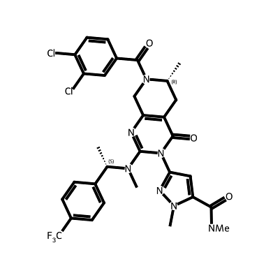 CNC(=O)c1cc(-n2c(N(C)[C@@H](C)c3ccc(C(F)(F)F)cc3)nc3c(c2=O)C[C@@H](C)N(C(=O)c2ccc(Cl)c(Cl)c2)C3)nn1C